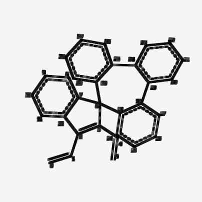 C=CC1=C(C=C)C2(c3ccccc31)c1ccccc1-c1ccccc1-c1ccccc12